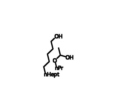 CCCCCCCCCCCCO.CCCOC(C)O